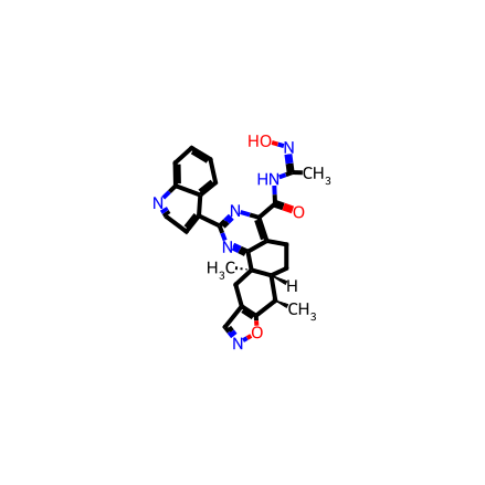 C/C(=N/O)NC(=O)c1nc(-c2ccnc3ccccc23)nc2c1CC[C@@H]1[C@@H](C)c3oncc3C[C@@]21C